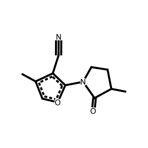 Cc1coc(N2CCC(C)C2=O)c1C#N